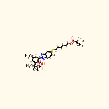 C=C(C)C(=O)OCCCCCCSc1ccc2nn(-c3cc(C)cc(C(C)(C)C)c3O)nc2c1